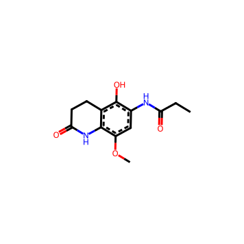 CCC(=O)Nc1cc(OC)c2c(c1O)CCC(=O)N2